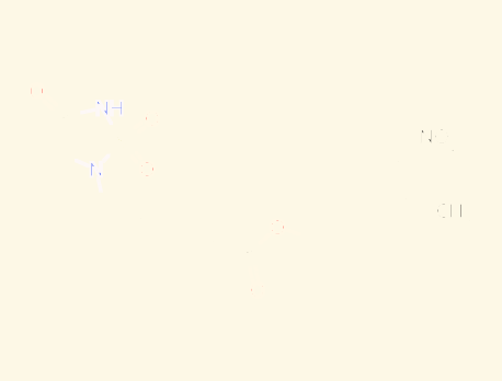 Cc1cc(COC(=O)c2ccc(CN3CC(=O)NS3(=O)=O)cc2)ccc1[N+](=O)[O-]